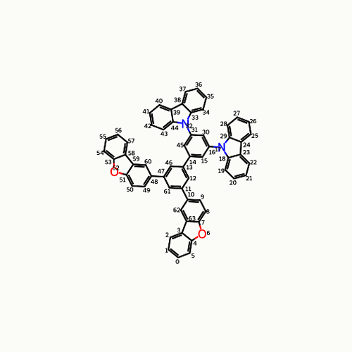 c1ccc2c(c1)oc1ccc(-c3cc(-c4cc(-n5c6ccccc6c6ccccc65)cc(-n5c6ccccc6c6ccccc65)c4)cc(-c4ccc5oc6ccccc6c5c4)c3)cc12